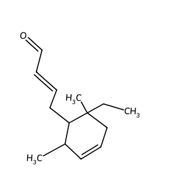 CCC1(C)CC=CC(C)C1CC=CC=O